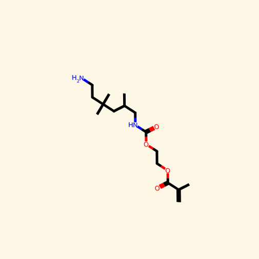 C=C(C)C(=O)OCCOC(=O)NCC(C)CC(C)(C)CCN